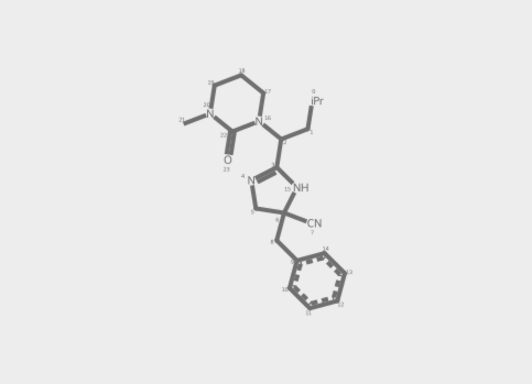 CC(C)CC(C1=NCC(C#N)(Cc2ccccc2)N1)N1CCCN(C)C1=O